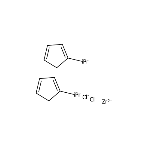 CC(C)C1=CC=CC1.CC(C)C1=CC=CC1.[Cl-].[Cl-].[Zr+2]